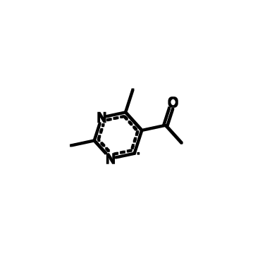 CC(=O)c1[c]nc(C)nc1C